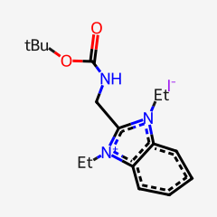 CCn1c(CNC(=O)OC(C)(C)C)[n+](CC)c2ccccc21.[I-]